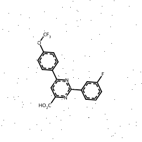 O=C(O)c1cc(-c2ccc(OC(F)(F)F)cc2)nc(-c2cccc(F)c2)n1